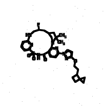 CC1(C)CC2CC(F)CNc3cccc(n3)S(=O)(=O)NC(=O)c3ccc(-n4ccc(OCCC5CCC56CC6)n4)nc3N1C2